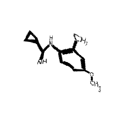 COc1ccc(NC(=N)C2CC2)c(C)c1